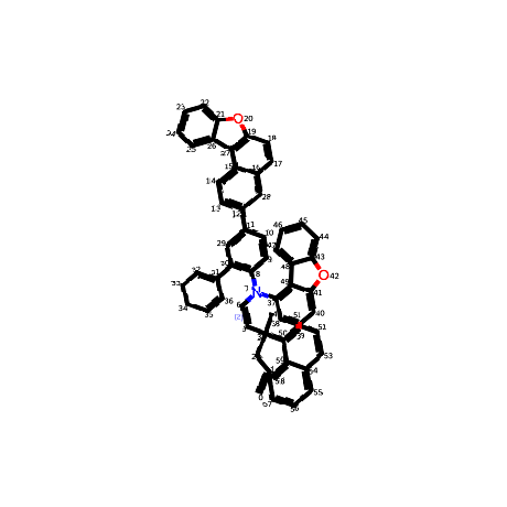 C=CCC(C)(/C=C\N(c1ccc(-c2ccc3c(ccc4oc5ccccc5c43)c2)cc1C1=CCCC=C1)c1cccc2oc3ccccc3c12)c1cccc2ccccc12